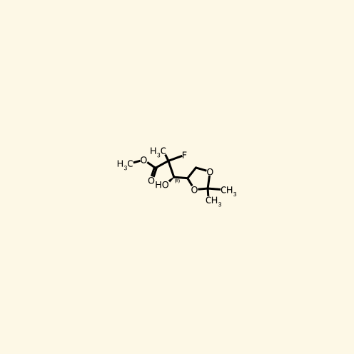 COC(=O)C(C)(F)[C@H](O)C1COC(C)(C)O1